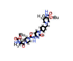 CC1(NC(=O)OC(C)(C)C)CCN(CC2CC=C(n3ccc(NC(=O)N4CCN(C(=O)C(C)(C)NC(=O)OC(C)(C)C)CC4)nc3=O)CC2)CC1